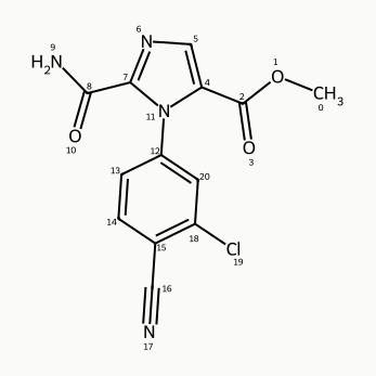 COC(=O)c1cnc(C(N)=O)n1-c1ccc(C#N)c(Cl)c1